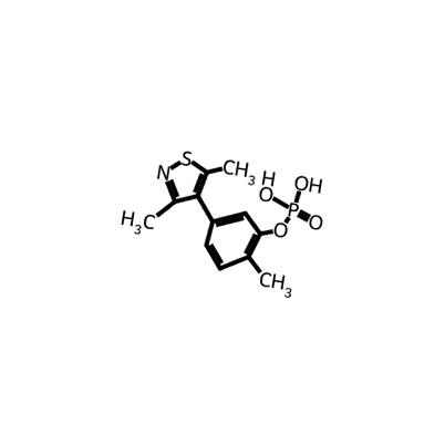 Cc1ccc(-c2c(C)nsc2C)cc1OP(=O)(O)O